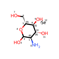 N[C@H]1C(O)O[C@H](CO)[C@@H](O)[C@@H]1O.[Se]